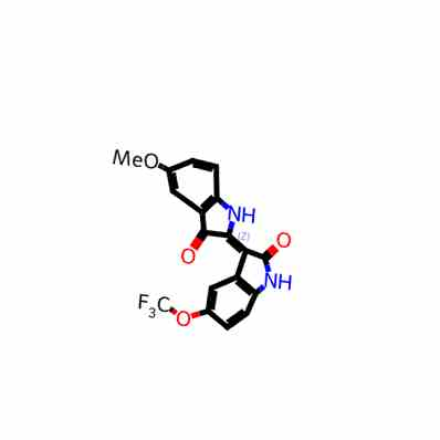 COc1ccc2c(c1)C(=O)/C(=C1/C(=O)Nc3ccc(OC(F)(F)F)cc31)N2